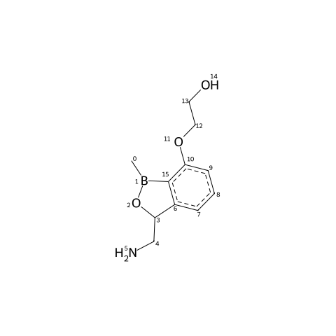 CB1OC(CN)c2cccc(OCCO)c21